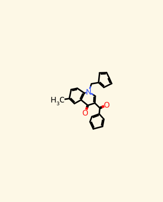 Cc1ccc2c(c1)c(=O)c(C(=O)c1ccccc1)cn2Cc1ccccc1